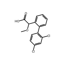 COC(C(=O)O)c1ccccc1-c1ccc(Cl)cc1Cl